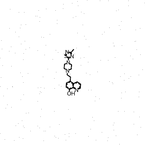 Cc1nsc(N2CCN(CCc3ccc(O)c4ncccc34)CC2)n1